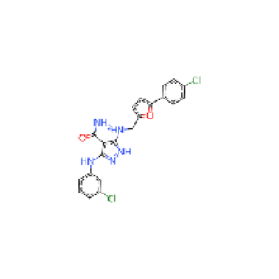 NC(=O)c1c(Nc2cccc(Cl)c2)n[nH]c1NCc1ccc(-c2ccc(Cl)cc2)o1